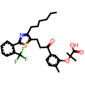 CCCCCCc1nc(-c2ccccc2C(F)(F)F)sc1CCC(=O)c1ccc(C)c(OC(C)(C)C(=O)O)c1